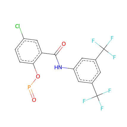 O=POc1ccc(Cl)cc1C(=O)Nc1cc(C(F)(F)F)cc(C(F)(F)F)c1